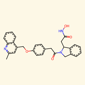 Cc1cc(COc2ccc(CC(=O)N3Cc4ccccc4C3CC(=O)NO)cc2)c2ccccc2n1